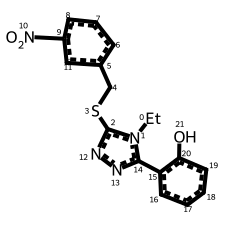 CCn1c(SCc2cccc([N+](=O)[O-])c2)nnc1-c1ccccc1O